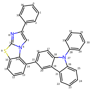 c1ccc(-c2cn3c(n2)sc2cccc(-c4ccc5c(c4)c4ccccc4n5-c4ccccc4)c23)cc1